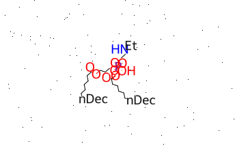 CCCCCCCCCCCCCCCC(=O)OCC(COP(=O)(O)OCCNCC)OC(=O)CCCCCCCCCCCCCCC